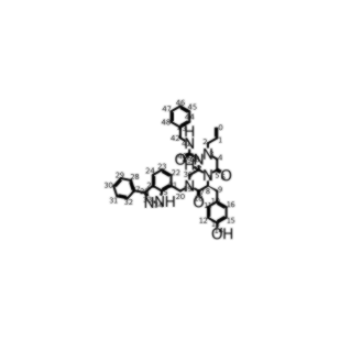 C=CCN1CC(=O)N2[C@@H](Cc3ccc(O)cc3)C(=O)N(Cc3cccc4c(-c5ccccc5)n[nH]c34)C[C@@H]2N1C(=O)NCc1ccccc1